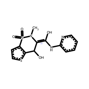 CN1/C(=C(\O)Nc2ccccn2)C(O)c2sccc2S1(=O)=O